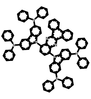 c1ccc(N(c2ccccc2)c2ccc3c(c2)c2cc(N(c4ccccc4)c4ccccc4)ccc2n3-c2ccc(-n3c4ccc(N(c5ccccc5)c5ccccc5)cc4c4cc(N(c5ccccc5)c5ccccc5)ccc43)c3nc4c5ccccc5c5ccccc5c4nc23)cc1